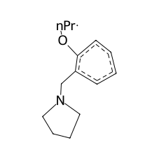 CC[CH]Oc1ccccc1CN1CCCC1